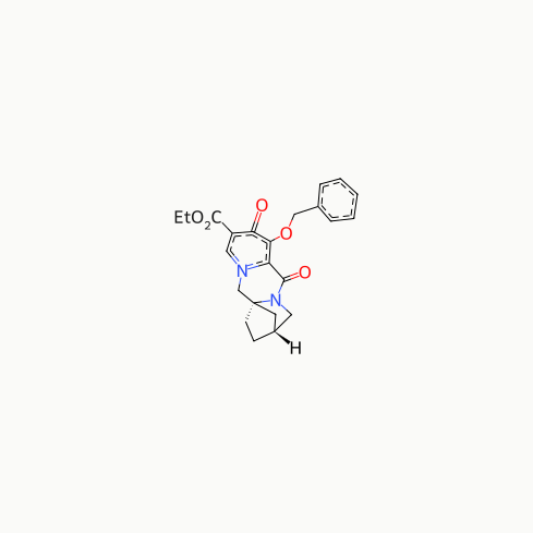 CCOC(=O)c1cn2c(c(OCc3ccccc3)c1=O)C(=O)N1C[C@@H]3CC[C@]1(C3)C2